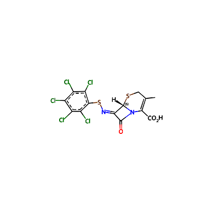 CC1=C(C(=O)O)N2C(=O)C(=NSc3c(Cl)c(Cl)c(Cl)c(Cl)c3Cl)[C@@H]2SC1